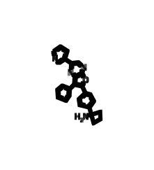 NC1(c2ccc(-c3oc4ncc(-c5cccnc5)nc4c3-c3ccccc3)cc2)CCC1